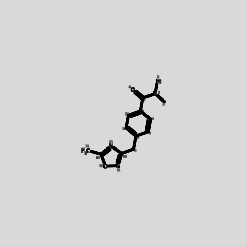 CCN(C)C(=O)c1ccc(Cc2noc(C(F)(F)F)n2)cc1